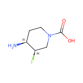 N[C@H]1CCN(C(=O)O)C[C@H]1F